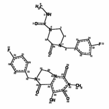 CNC(=O)N1CCN(Cc2ccc(F)cc2)C(=O)C1.Cn1c(=O)c(O)c2n(c1=O)CCN(Cc1ccc(F)cc1)C2=O